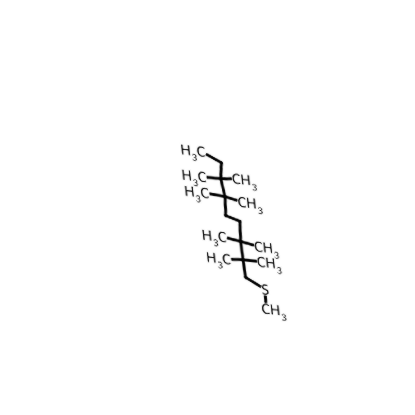 CCC(C)(C)C(C)(C)CCC(C)(C)C(C)(C)CSC